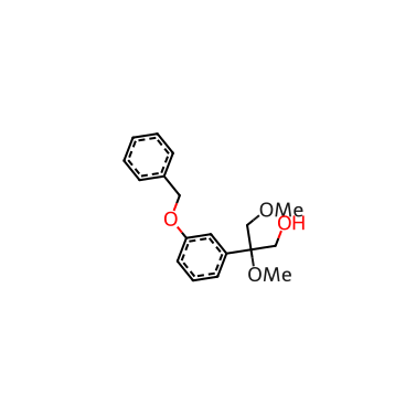 COCC(CO)(OC)c1cccc(OCc2ccccc2)c1